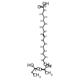 CC(=O)O.CCC(=O)O.CCCCCCCCC=CCCCCCCCC(=O)O